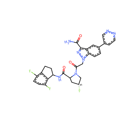 NC(=O)c1nn(CC(=O)N2C[C@H](F)CC2C(=O)NC2CCc3c(F)ccc(F)c32)c2ccc(-c3ccnnc3)cc12